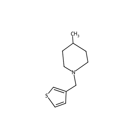 CC1CCN(Cc2ccsc2)CC1